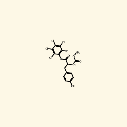 CC(C)(C)OC(=O)NC(Cc1ccc(O)cc1)C(=O)Oc1c(Cl)c(Cl)c(Cl)c(Cl)c1Cl